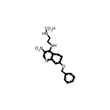 O=C(O)NCCNc1c([N+](=O)[O-])cnc2cc(OCc3ccccc3)ccc12